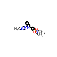 CCN1CCN(c2nc(-c3ccc(S(=O)(=O)N(CC)CC)cc3)cc3ccccc23)CC1